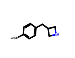 CC(=O)Nc1ccc(CC2CNC2)cc1